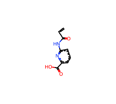 C=CC(=O)Nc1cccc(C(=O)O)n1